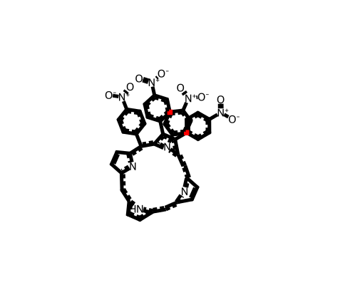 O=[N+]([O-])c1ccc(-c2c(-c3ccc([N+](=O)[O-])cc3)c3c(-c4ccc([N+](=O)[O-])cc4)c4nc(cc5ccc(cc6nc(cc2n3-c2ccc([N+](=O)[O-])cc2)C=C6)[nH]5)C=C4)cc1